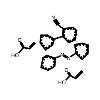 C=CC(=O)O.C=CC(=O)O.N#Cc1ccccc1-c1ccccc1.c1ccc(/N=N/c2ccccc2)cc1